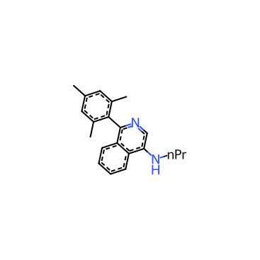 CCCNc1cnc(-c2c(C)cc(C)cc2C)c2ccccc12